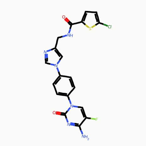 Nc1nc(=O)n(-c2ccc(-n3cnc(CNC(=O)c4ccc(Cl)s4)c3)cc2)cc1F